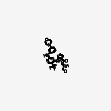 O=CNOC(=O)c1ccsc1Nc1nc(Nc2cccc(N3CCOCC3)c2)ncc1C(F)(F)F